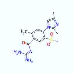 Cc1cn(-c2cc(C(F)(F)F)c(C(=O)N=C(N)N)cc2S(C)(=O)=O)c(C)n1